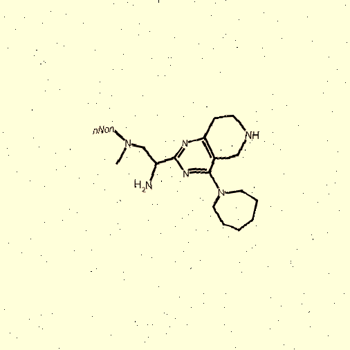 CCCCCCCCCN(C)CC(N)c1nc2c(c(N3CCCCCC3)n1)CNCC2